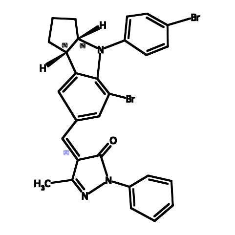 CC1=NN(c2ccccc2)C(=O)/C1=C\c1cc(Br)c2c(c1)[C@@H]1CCC[C@@H]1N2c1ccc(Br)cc1